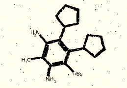 CCCCc1c(N)c(C)c(N)c(C2CCCC2)c1C1CCCC1